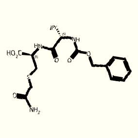 CC(C)[C@H](NC(=O)OCc1ccccc1)C(=O)N[C@@H](CSCC(N)=O)C(=O)O